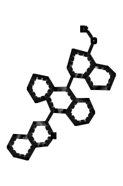 CCOc1ccc(-c2c3ccccc3c(-c3cc4ccccc4cn3)c3ccccc23)c2ccccc12